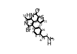 CNC[C@H](C)c1ccc(-c2c(Br)nc(C)c3[nH]c(=O)c4sccc4c23)cc1